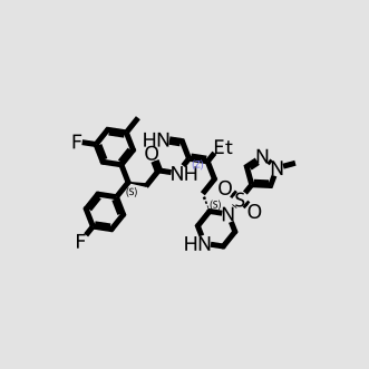 CC/C(CC[C@H]1CNCCN1S(=O)(=O)c1cnn(C)c1)=C(\C=N)NC(=O)C[C@@H](c1ccc(F)cc1)c1cc(C)cc(F)c1